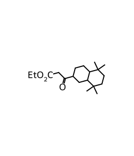 CCOC(=O)CC(=O)C1CCC2C(C1)C(C)(C)CCC2(C)C